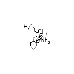 C=CCC(C)C(CC1CCOCC1)S(N)(=O)=O